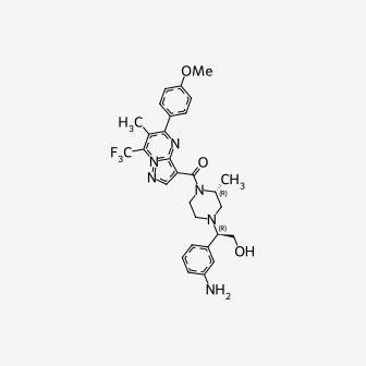 COc1ccc(-c2nc3c(C(=O)N4CCN([C@@H](CO)c5cccc(N)c5)C[C@H]4C)cnn3c(C(F)(F)F)c2C)cc1